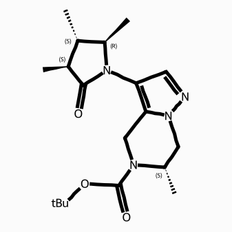 C[C@H]1[C@H](C)C(=O)N(c2cnn3c2CN(C(=O)OC(C)(C)C)[C@@H](C)C3)[C@@H]1C